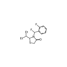 CCC(CC)C1SCC(=O)N1C(F)c1ccccc1F